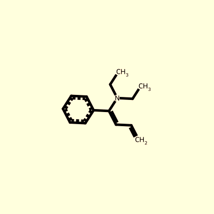 C=CC=C(c1ccccc1)N(CC)CC